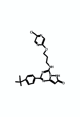 CC(C)(C)c1ccc(-c2nc(NCCCOc3cnc(Cl)cn3)n3[nH]c(=O)cc3n2)cc1